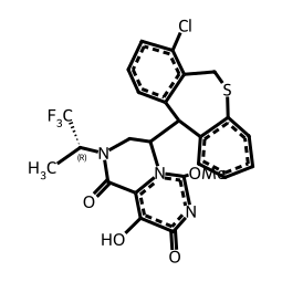 COc1nc(=O)c(O)c2n1C(C1c3ccccc3SCc3c(Cl)cccc31)CN([C@H](C)C(F)(F)F)C2=O